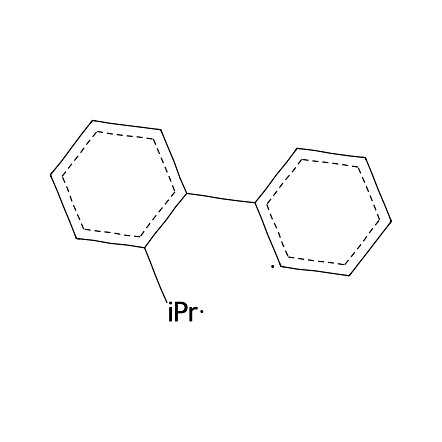 C[C](C)c1ccccc1-c1[c]cccc1